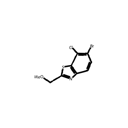 COCc1nc2ccc(Br)c(Cl)c2s1